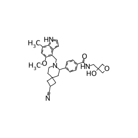 COc1cc(C)c2[nH]ccc2c1CN1CCC2(CC(C#N)C2)CC1c1ccc(C(=O)NCC2(O)COC2)cc1